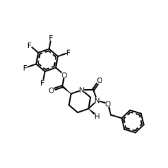 O=C(Oc1c(F)c(F)c(F)c(F)c1F)[C@@H]1CC[C@@H]2CN1C(=O)N2OCc1ccccc1